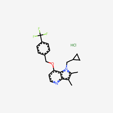 Cc1c(C)n(CC2CC2)c2c(OCc3ccc(C(F)(F)F)cc3)ccnc12.Cl